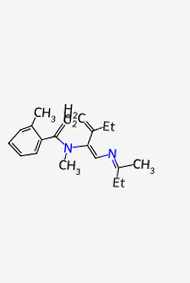 C=C(CC)/C(=C\N=C(\C)CC)N(C)C(=C)c1ccccc1C